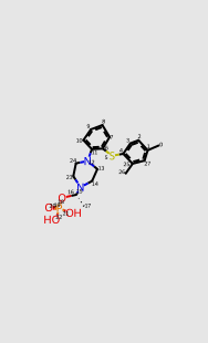 Cc1ccc(Sc2ccccc2N2CCN([C@H](C)OP(=O)(O)O)CC2)c(C)c1